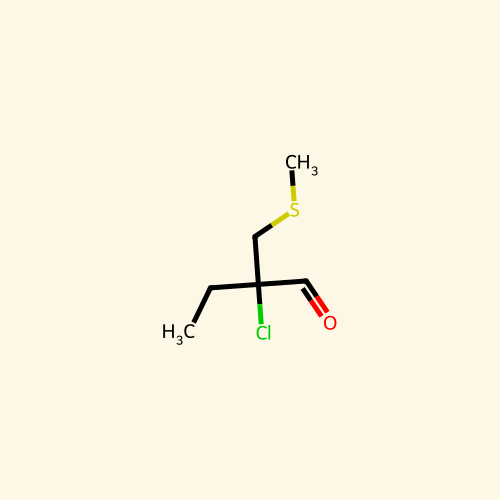 CCC(Cl)(C=O)CSC